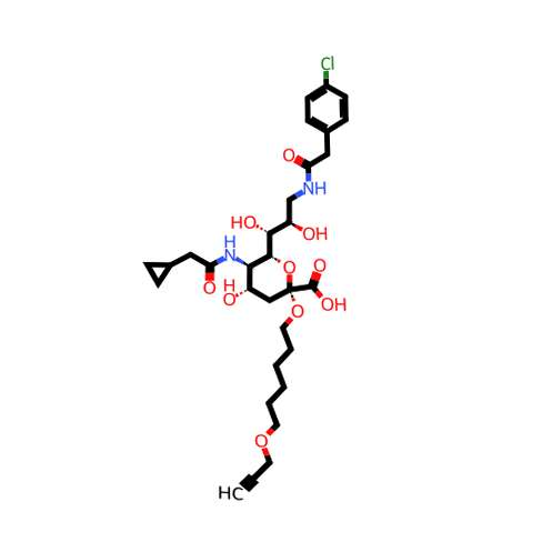 C#CCOCCCCCCO[C@]1(C(=O)O)C[C@H](O)[C@@H](NC(=O)CC2CC2)[C@H]([C@H](O)[C@H](O)CNC(=O)Cc2ccc(Cl)cc2)O1